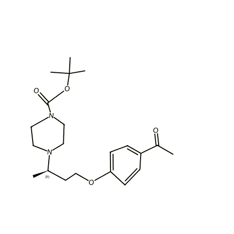 CC(=O)c1ccc(OCC[C@@H](C)N2CCN(C(=O)OC(C)(C)C)CC2)cc1